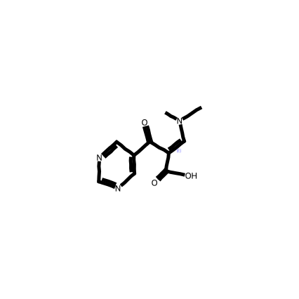 CN(C)/C=C(/C(=O)O)C(=O)c1cncnc1